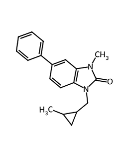 CC1CC1Cn1c(=O)n(C)c2cc(-c3ccccc3)ccc21